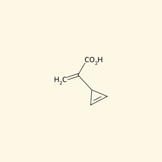 C=C(C(=O)O)C1C=C1